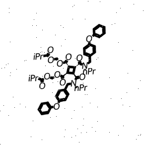 CCCN(Cc1ccc(Oc2ccccc2)cc1)C(=O)[C@H]1[C@@H](C(=O)OCOC(=O)C(C)C)[C@H](C(=O)OCOC(=O)C(C)C)[C@@H]1C(=O)N(CCC)Cc1ccc(Oc2ccccc2)cc1